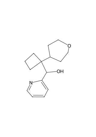 OC(c1ccccn1)C1(C2CCOCC2)CCC1